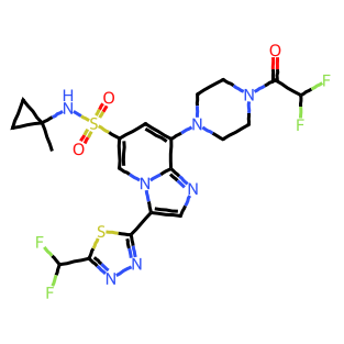 CC1(NS(=O)(=O)c2cc(N3CCN(C(=O)C(F)F)CC3)c3ncc(-c4nnc(C(F)F)s4)n3c2)CC1